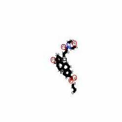 CCCCOC(=O)c1ccc2c(c1)CC[C@H]1[C@@H]3[C@@H](CCCC(=O)N4CCOCC4)CC(=O)[C@@]3(C)CC[C@H]21